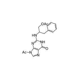 CC(=O)OCC(Cc1ccccc1)Nc1nc2c(ncn2C(C)=O)c(=O)[nH]1